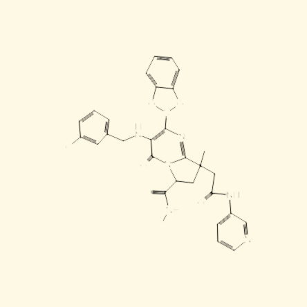 CCCNC(=O)C1CC(C)(CC(=O)Nc2cccnc2)c2nc(B3Oc4ccccc4O3)c(NCc3cccc(C(F)(F)F)c3)c(=O)n21